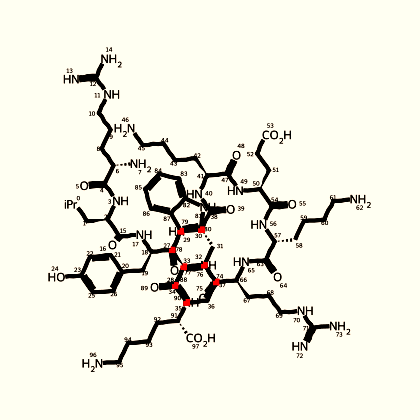 CC(C)C[C@@H](NC(=O)[C@@H](N)CCCNC(=N)N)C(=O)N[C@H](Cc1ccc(O)cc1)C(=O)N[C@@H](Cc1ccccc1)C(=O)N[C@@H](CCCCN)C(=O)N[C@@H](CCC(=O)O)C(=O)N[C@H](CCCCN)C(=O)N[C@@H](CCCNC(=N)N)C(=O)N[C@H](Cc1c[nH]c2ccccc12)C(=O)N[C@@H](CCCCN)C(=O)O